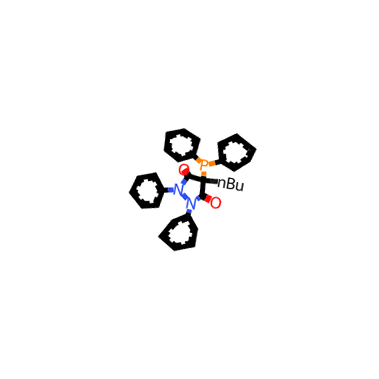 CCCCC1(P(c2ccccc2)c2ccccc2)C(=O)N(c2ccccc2)N(c2ccccc2)C1=O